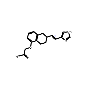 O=C(O)COc1cccc2c1CCC(/C=C/c1c[nH]cn1)C2